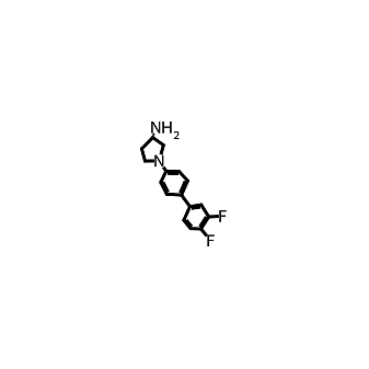 N[C@H]1CCN(c2ccc(-c3ccc(F)c(F)c3)cc2)C1